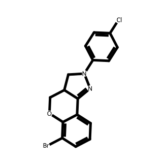 Clc1ccc(N2CC3COc4c(Br)cccc4C3=N2)cc1